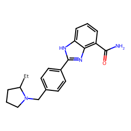 CCC1CCCN1Cc1ccc(-c2nc3c(C(N)=O)cccc3[nH]2)cc1